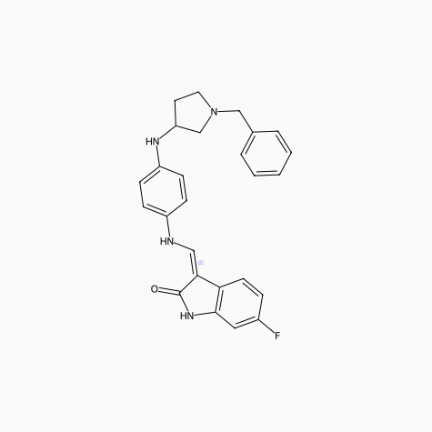 O=C1Nc2cc(F)ccc2/C1=C/Nc1ccc(NC2CCN(Cc3ccccc3)C2)cc1